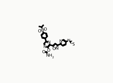 CC(C)S(=O)(=O)c1ccc(-c2cnc(OC(N)=O)c(-c3cc(-c4ccc(N=C=S)cn4)no3)n2)cc1